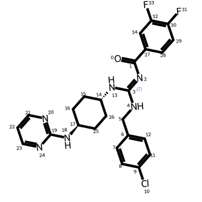 O=C(/N=C(/NCc1ccc(Cl)cc1)N[C@H]1CC[C@H](Nc2ncccn2)CC1)c1ccc(F)c(F)c1